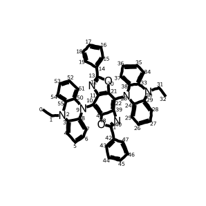 CCN1c2ccccc2N(c2c3nc(-c4ccccc4)oc3c(N3c4ccccc4N(CC)c4ccccc43)c3nc(-c4ccccc4)oc23)c2ccccc21